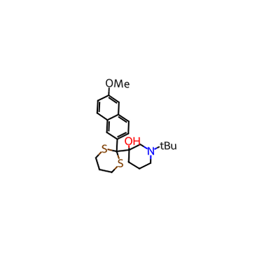 COc1ccc2cc(C3(C4(O)CCCN(C(C)(C)C)C4)SCCCS3)ccc2c1